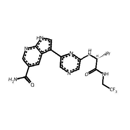 CC(C)[C@@H](Nc1cncc(-c2c[nH]c3ncc(C(N)=O)cc23)n1)C(=O)NCC(F)(F)F